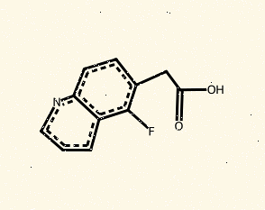 O=C(O)Cc1ccc2ncccc2c1F